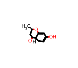 C[C@@H]1CC(=O)[C@@H]2CC=C(O)C=C2O1